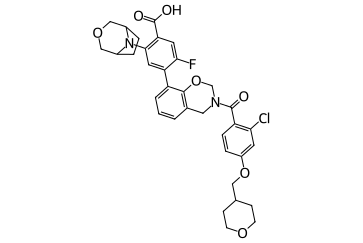 O=C(O)c1cc(F)c(-c2cccc3c2OCN(C(=O)c2ccc(OCC4CCOCC4)cc2Cl)C3)cc1N1C2CCC1COC2